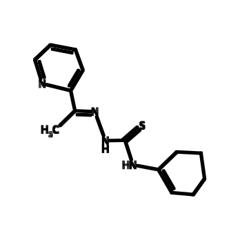 C/C(=N\NC(=S)NC1=CCCCC1)c1ccccn1